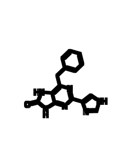 O=c1[nH]c2nc(-c3c[nH]cn3)nc(Cc3ccccc3)c2[nH]1